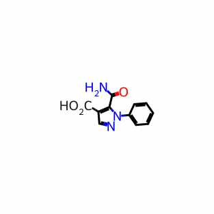 NC(=O)c1c(C(=O)O)cnn1-c1ccccc1